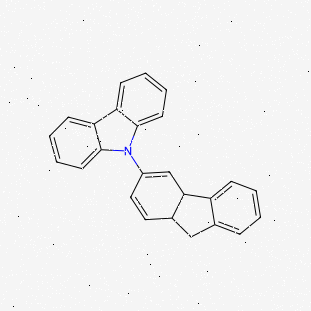 C1=CC2Cc3ccccc3C2C=C1n1c2ccccc2c2ccccc21